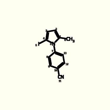 Cc1ccc(I)n1-c1ccc(C#N)cc1